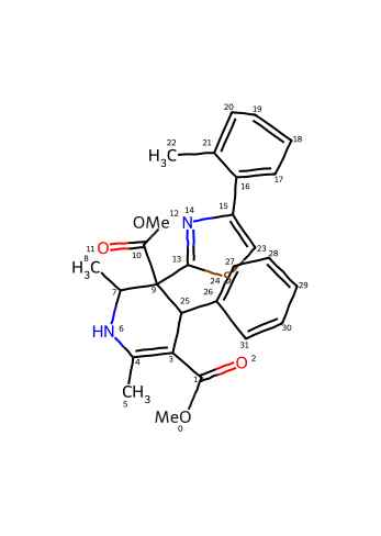 COC(=O)C1=C(C)NC(C)C(C(=O)OC)(c2nc(-c3ccccc3C)cs2)C1c1ccccc1